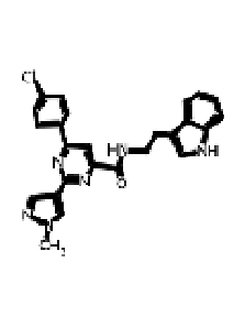 Cn1cc(-c2nc(C(=O)NCCc3c[nH]c4ccccc34)cc(-c3ccc(Cl)cc3)n2)cn1